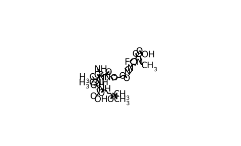 CCn1cc(C(=O)O)c(=O)c2cc(F)c(N3CCN(C(=O)OCc4ccc(NC(=O)[C@H](CCN)NC(=O)[C@@H](NC(=O)[C@H](CCC(=O)O)NC(=O)CCCC(=O)N(C)C)C(C)C)cc4)CC3)cc21